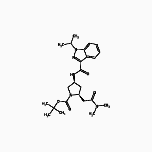 CC(C)n1nc(C(=O)N[C@H]2C[C@@H](CC(=O)N(C)C)N(C(=O)OC(C)(C)C)C2)c2ccccc21